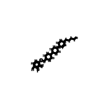 CCCCCC1C=CC(C2CCC(C3CCC(COc4ccc(C)c(F)c4F)CC3)CC2)CC1